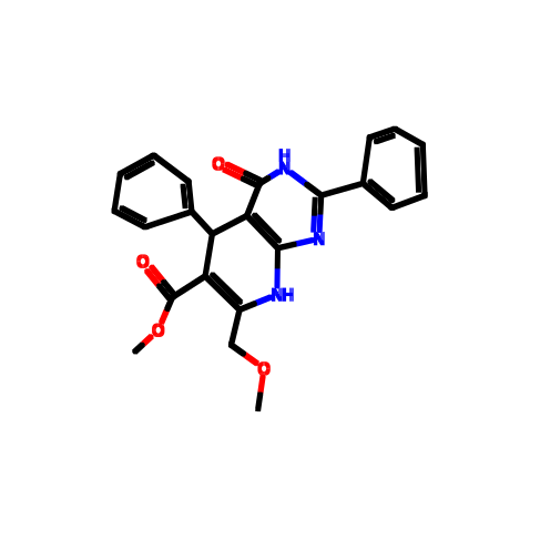 COCC1=C(C(=O)OC)C(c2ccccc2)c2c(nc(-c3ccccc3)[nH]c2=O)N1